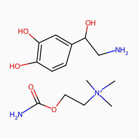 C[N+](C)(C)CCOC(N)=O.NCC(O)c1ccc(O)c(O)c1